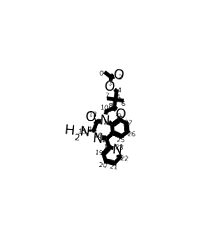 CC(=O)OCC(C)(C)C(=O)CN1C(=O)[C@H](N)N=C(c2ccccn2)c2ccccc21